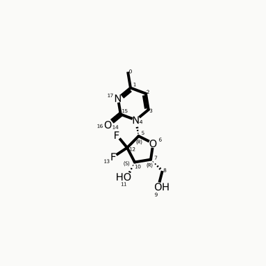 Cc1ccn([C@@H]2O[C@H](CO)[C@H](O)C2(F)F)c(=O)n1